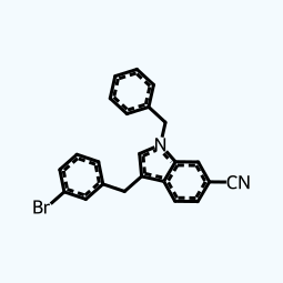 N#Cc1ccc2c(Cc3cccc(Br)c3)cn(Cc3ccccc3)c2c1